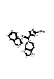 CC(C)(C)c1ncc(C(=O)N2CCc3[nH]cnc3[C@@H]2c2cc3ccccc3cn2)s1